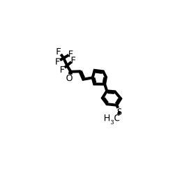 CSc1ccc(-c2cccc(C=CC(=O)C(F)(F)C(F)(F)F)c2)cc1